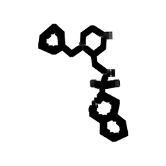 O=S(=O)(NCC1CNCCN1Cc1ccccc1)c1ccc2ccccc2c1